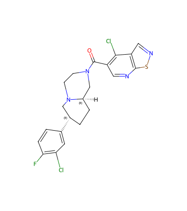 O=C(c1cnc2sncc2c1Cl)N1CCN2C[C@@H](c3ccc(F)c(Cl)c3)CC[C@@H]2C1